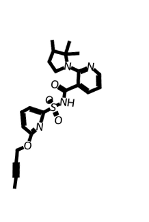 CC#CCOc1cccc(S(=O)(=O)NC(=O)c2cccnc2N2CCC(C)C2(C)C)n1